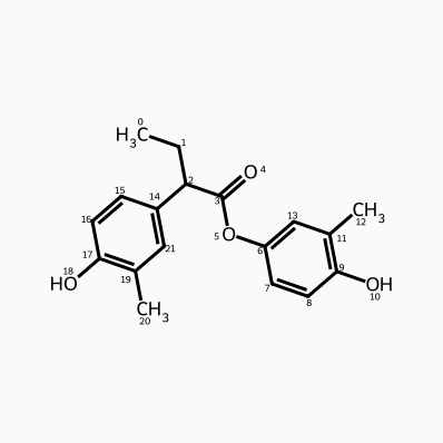 CCC(C(=O)Oc1ccc(O)c(C)c1)c1ccc(O)c(C)c1